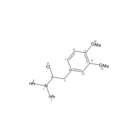 CCCN(CCC)C(Cl)Cc1ccc(OC)c(OC)c1